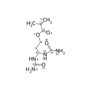 C=C(C)C(=O)OCC[C](NC(N)=O)NC(N)=O